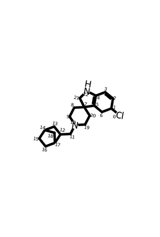 ClC1C=CC2=C(C1)C1(CCN(CC3CC4CCC3C4)CC1)CN2